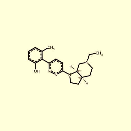 CCN1CC[C@H]2CCN(c3ccc(-c4c(C)cccc4O)nn3)[C@H]2C1